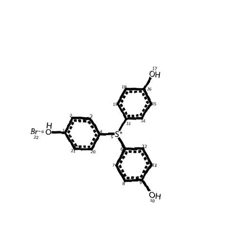 Oc1ccc([S+](c2ccc(O)cc2)c2ccc(O)cc2)cc1.[Br-]